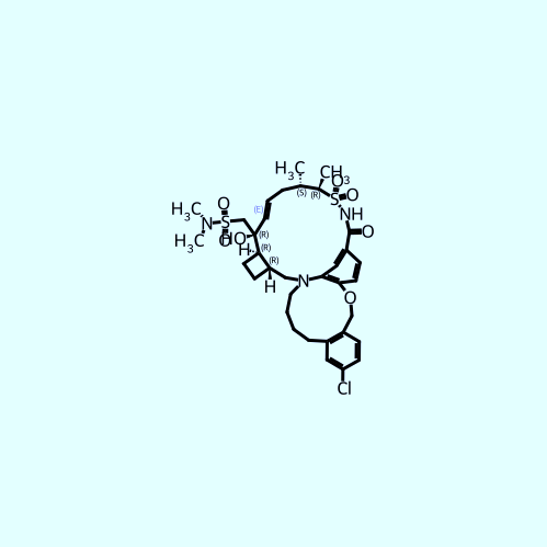 C[C@@H]1[C@@H](C)C/C=C/[C@@](O)(CS(=O)(=O)N(C)C)[C@@H]2CC[C@H]2CN2CCCCc3cc(Cl)ccc3COc3ccc(cc32)C(=O)NS1(=O)=O